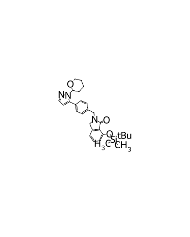 CC(C)(C)[Si](C)(C)Oc1cccc2c1C(=O)N(Cc1ccc(-c3ccnn3C3CCCCO3)cc1)C2